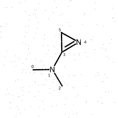 CN(C)C1=NC1